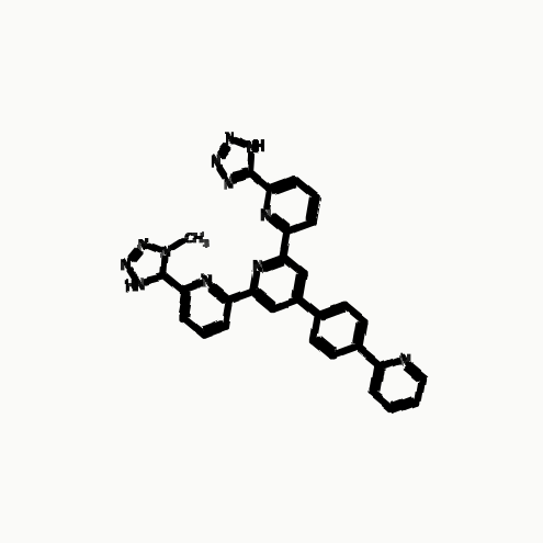 CN1N=NNC1c1cccc(-c2cc(-c3ccc(-c4ccccn4)cc3)cc(-c3cccc(-c4nnn[nH]4)n3)n2)n1